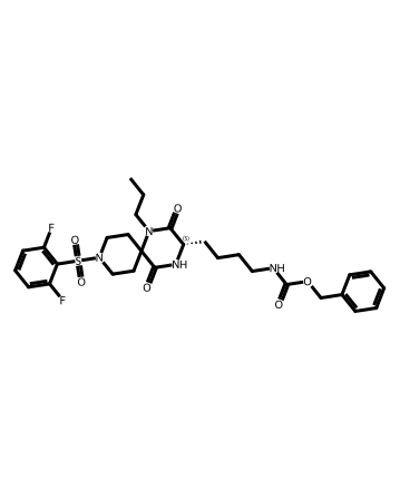 CCCN1C(=O)[C@H](CCCCNC(=O)OCc2ccccc2)NC(=O)C12CCN(S(=O)(=O)c1c(F)cccc1F)CC2